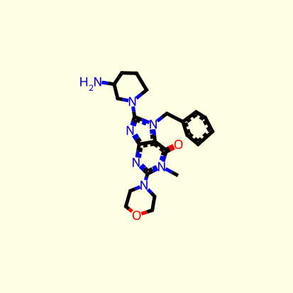 Cn1c(N2CCOCC2)nc2nc(N3CCCC(N)C3)n(Cc3ccccc3)c2c1=O